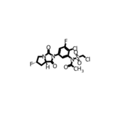 CC(=O)N(c1cc(N2C(=O)[C@@H]3C[C@H](F)CN3C2=O)cc(F)c1Cl)S(=O)(=O)CCl